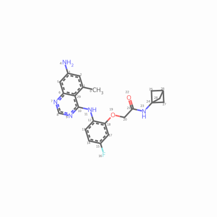 Cc1cc(N)cc2ncnc(Nc3ccc(F)cc3OCC(=O)NC34CC(C3)C4)c12